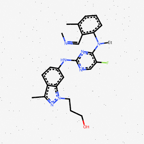 CCN(c1cccc(C)c1/C=N\C)c1nc(Nc2ccc3c(C)nn(CCCO)c3c2)ncc1F